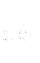 COC(=O)C1(OC)CS[C@@H]2C(N3C(=O)c4ccccc4C3=O)C(=O)N2C1